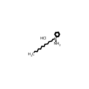 CCCCCCCCCCCCN(CN)c1ccccc1.Cl